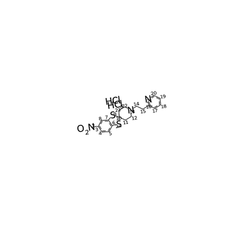 Cl.Cl.O=[N+]([O-])c1ccc2c(c1)SC1(CCN(CCc3ccccn3)CC1)S2